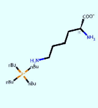 CCCC[P+](CCCC)(CCCC)CCCC.NCCCC[C@H](N)C(=O)[O-]